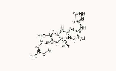 Cc1cc(Nc2ncc(Cl)c(Nc3cc[nH]n3)n2)c(OC(C)C)cc1C1CCN(C)CC1